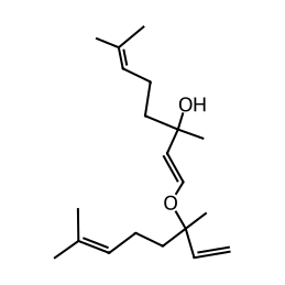 C=CC(C)(CCC=C(C)C)OC=CC(C)(O)CCC=C(C)C